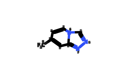 FC(F)(F)c1ccn2[c]nnc2c1